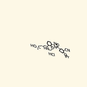 CC(C)Oc1ccc(-c2nc(-c3cccc4c3OCCNC4CCCC(=O)O)no2)cc1C#N.Cl